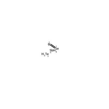 [SbH3].[Se]=[Bi].[TeH2]